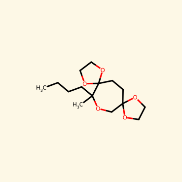 CCCCC1(C)OCC2(CCC13OCCO3)OCCO2